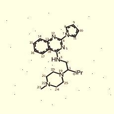 CC(C)C(CNc1nc(-n2cccc2)nc2ccccc12)N1CCN(C)CC1